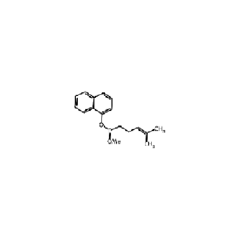 COP(CCC=C(C)C)Oc1cccc2ccccc12